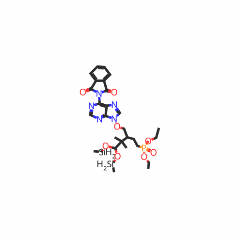 CCOP(=O)(CCC(COn1cnc2c(N3C(=O)c4ccccc4C3=O)ncnc21)C(C)(C)C(O[SiH2]C)O[SiH2]C)OCC